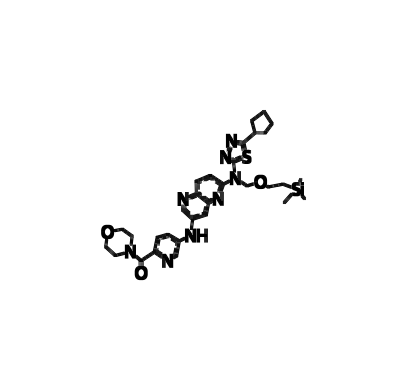 C[Si](C)(C)CCOCN(c1ccc2ncc(Nc3ccc(C(=O)N4CCOCC4)nc3)cc2n1)c1nnc(C2CCCC2)s1